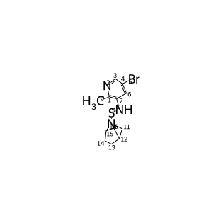 Cc1ncc(Br)cc1NSN1CC2CCC1C2